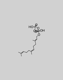 CC(C)=CCCC(C)=CCC/C(C)=C/COP(=O)(O)OP(=O)(O)O